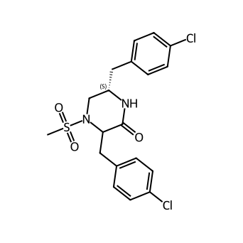 CS(=O)(=O)N1C[C@H](Cc2ccc(Cl)cc2)NC(=O)C1Cc1ccc(Cl)cc1